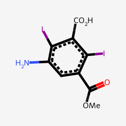 COC(=O)c1cc(N)c(I)c(C(=O)O)c1I